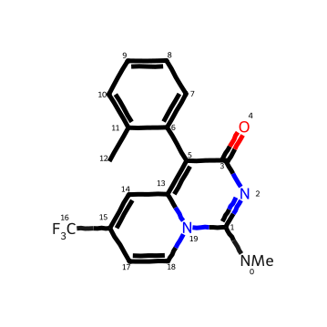 CNc1nc(=O)c(-c2ccccc2C)c2cc(C(F)(F)F)ccn12